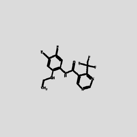 CCNc1cc(F)c(F)cc1NC(=O)c1cncnc1C(F)(F)F